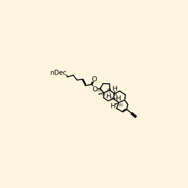 C#CC1=CC[C@H]2C(CC[C@@H]3[C@@H]2CC[C@]2(C)[C@@H](OC(=O)C=CCCCCCCCCCCCCC)CC[C@@H]32)C1